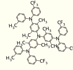 Cc1cccc(N(c2cccc(C(F)(F)F)c2)c2cc(C)c(N(c3cc(C)c(N(c4cccc(C)c4)c4cccc(C(F)(F)F)c4)cc3C)c3cc(C)c(N(c4cccc(C(F)(F)F)c4)c4cccc(C(F)(F)F)c4)cc3C)cc2C)c1